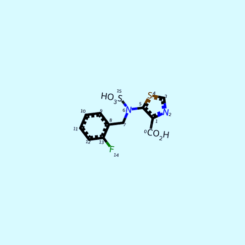 O=C(O)c1ncsc1N(Cc1ccccc1F)S(=O)(=O)O